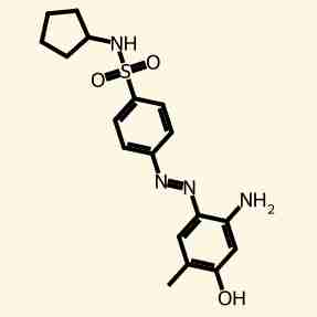 Cc1cc(/N=N/c2ccc(S(=O)(=O)NC3CCCC3)cc2)c(N)cc1O